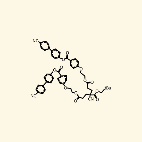 CC(C)(C)COC(=O)C(C#N)(CCC(=O)OCCOc1ccc(C(=O)Oc2ccc(-c3ccc(C#N)cc3)cc2)cc1)CCC(=O)OCCOc1ccc(C(=O)Oc2ccc(-c3ccc(C#N)cc3)cc2)cc1